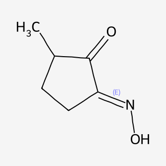 CC1CC/C(=N\O)C1=O